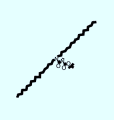 CCCCCCCCCCCCCCCCCCN(CCCCCCCCCCCCCCCCCC)C(=O)N(C)C(=O)OC(C)(C)C